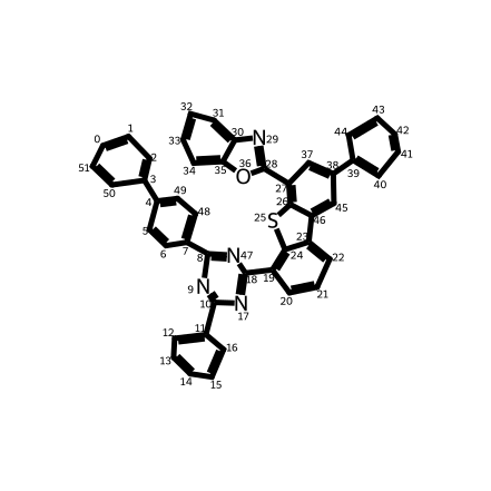 c1ccc(-c2ccc(-c3nc(-c4ccccc4)nc(-c4cccc5c4sc4c(-c6nc7ccccc7o6)cc(-c6ccccc6)cc45)n3)cc2)cc1